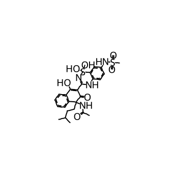 CC(=O)NC1(CCC(C)C)C(=O)C(C2=NS(O)(O)c3cc(NS(C)(=O)=O)ccc3N2)=C(O)c2ccccc21